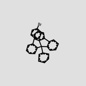 Brc1ccc(-c2ccccc2C2(c3ccccc3)c3ccccc3-c3ccccc32)cc1